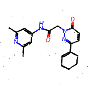 Cc1cc(NC(=O)Cn2nc(C3=CCCCC3)ccc2=O)cc(C)n1